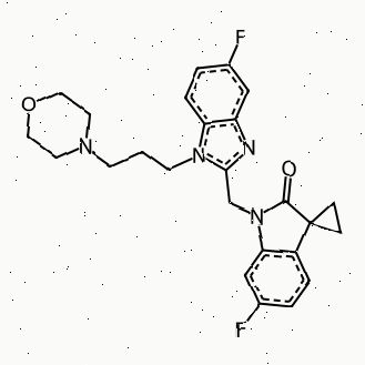 O=C1N(Cc2nc3cc(F)ccc3n2CCCN2CCOCC2)c2cc(F)ccc2C12CC2